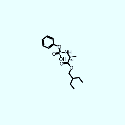 CCC(CC)COC(=O)[C@H](C)NP(=O)(O)Oc1ccccc1